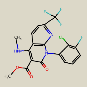 CNc1c(C(=O)OC)c(=O)n(-c2cccc(F)c2Cl)c2nc(C(F)(F)F)ccc12